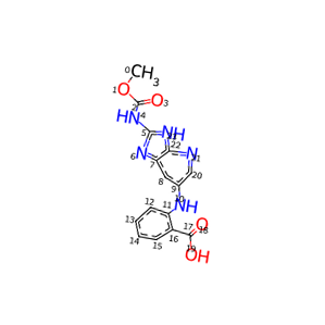 COC(=O)Nc1nc2cc(Nc3ccccc3C(=O)O)cnc2[nH]1